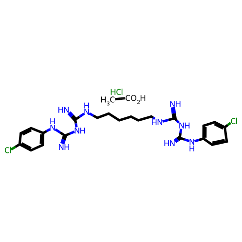 CC(=O)O.Cl.N=C(NCCCCCCNC(=N)NC(=N)Nc1ccc(Cl)cc1)NC(=N)Nc1ccc(Cl)cc1